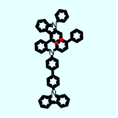 c1ccc(-c2ccc(N(c3ccc(-c4ccc(-n5c6ccccc6c6ccccc65)cc4)cc3)c3ccccc3-c3cccc4c3c3ccccc3n4-c3ccccc3)cc2)cc1